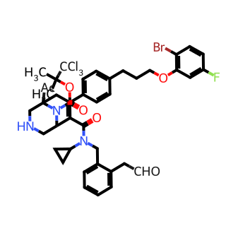 CC(=O)C12CNCC(C(C(=O)N(Cc3ccccc3CC=O)C3CC3)=C(c3ccc(CCCOc4cc(F)ccc4Br)cc3)C1)N2C(=O)OC(C)(C)C(Cl)(Cl)Cl